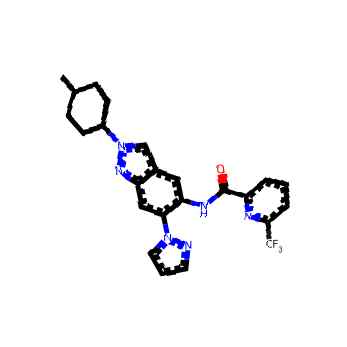 CC1CCC(n2cc3cc(NC(=O)c4cccc(C(F)(F)F)n4)c(-n4cccn4)cc3n2)CC1